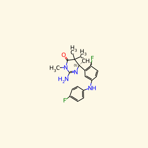 CN1C(=O)C(C)(C)[C@@](C)(c2cc(Nc3ccc(F)cc3)ccc2F)N=C1N